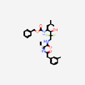 CC[C@@H](NC(=O)Cc1cccc(C)c1)C(=O)NCC(F)(F)C(O)C(CC(C)C)NC(=O)OCc1ccccc1